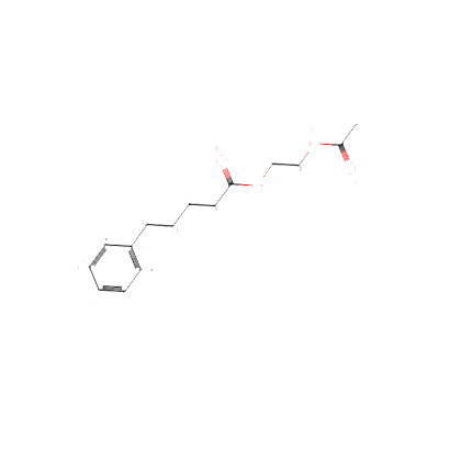 CC(=O)OCCOC(=O)CCCCc1ccccc1